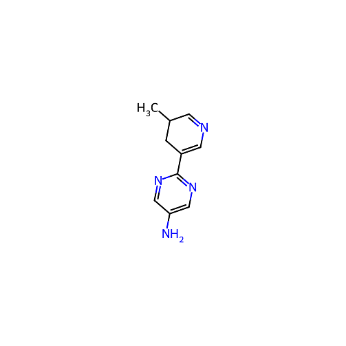 CC1C=NC=C(c2ncc(N)cn2)C1